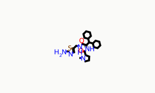 CN1CCCC1C(=O)N[C@@H](C(=O)NCc1cnc(N)s1)C(C1CCCCC1)C1CCCCC1